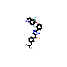 CC(Cc1cccc([C@H](O)c2cnc(-c3cccc(Oc4c(F)cc5[nH]ccc5c4F)c3)[nH]2)c1)C(=O)O